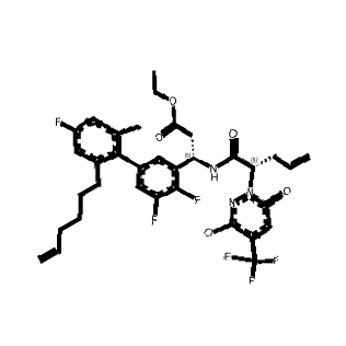 C=CCCCCc1cc(F)cc(C)c1-c1cc(F)c(F)c([C@H](CC(=O)OCC)NC(=O)[C@H](CC=C)n2nc(Cl)c(C(F)(F)F)cc2=O)c1